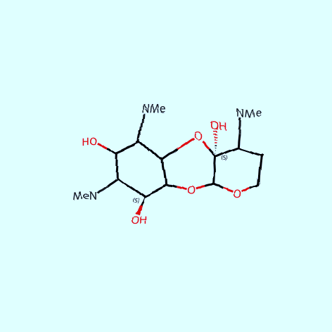 CNC1C(O)C(NC)[C@H](O)C2OC3OCCC(NC)[C@]3(O)OC12